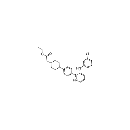 CCOC(=O)CC1CCC(c2ccc(N3NC=CC=C3Nc3cccc(Cl)c3)cc2)CC1